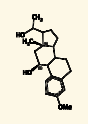 COc1ccc2c(c1)CCC1C2[C@@H](O)C[C@]2(C)C(C(C)O)CCC12